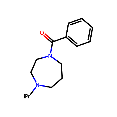 CC(C)N1CCCN(C(=O)c2ccccc2)CC1